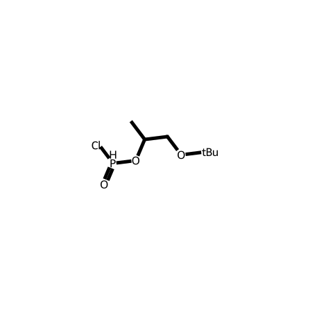 CC(COC(C)(C)C)O[PH](=O)Cl